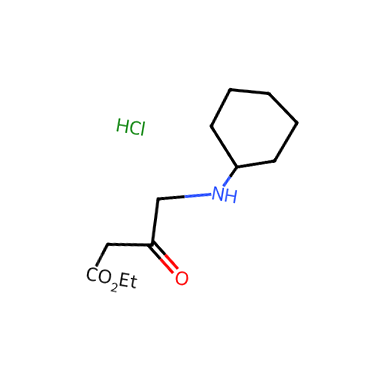 CCOC(=O)CC(=O)CNC1CCCCC1.Cl